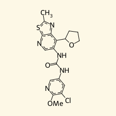 COc1ncc(NC(=O)Nc2cnc3sc(C)nc3c2C2CCCO2)cc1Cl